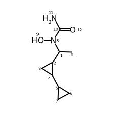 CC(C1CC1C1CC1)N(O)C(N)=O